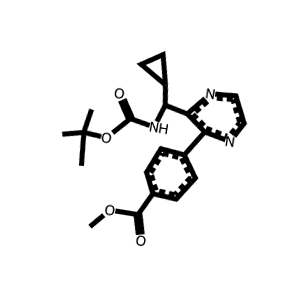 COC(=O)c1ccc(-c2nccnc2C(NC(=O)OC(C)(C)C)C2CC2)cc1